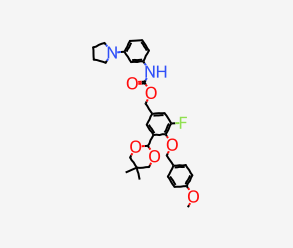 COc1ccc(COc2c(F)cc(COC(=O)Nc3cccc(N4CCCC4)c3)cc2C2OCC(C)(C)CO2)cc1